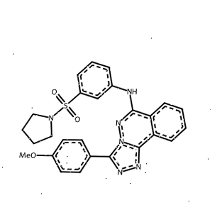 COc1ccc(-c2nnc3c4ccccc4c(Nc4cccc(S(=O)(=O)N5CCCC5)c4)nn23)cc1